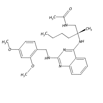 CCCC[C@](C)(CNC(C)=O)Nc1nc(NCc2ccc(OC)cc2OC)nc2ccccc12